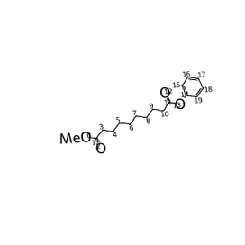 COC(=O)CCCCCCCCC(=O)Oc1ccccc1